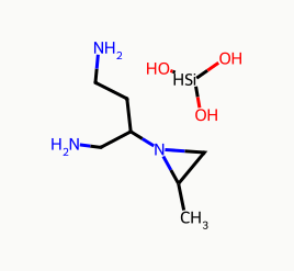 CC1CN1C(CN)CCN.O[SiH](O)O